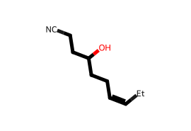 CC/C=C\CCC(O)CCC#N